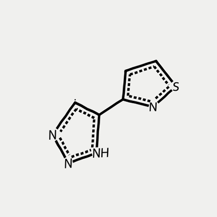 [c]1nn[nH]c1-c1ccsn1